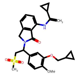 C=C(Nc1cccc2c1C(=O)N(C(CS(C)(=O)=O)c1ccc(OC)c(OCC3CC3)c1)C2)C1CC1